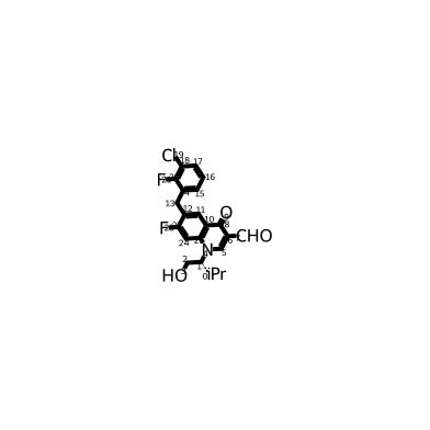 CC(C)[C@H](CO)n1cc(C=O)c(=O)c2cc(Cc3cccc(Cl)c3F)c(F)cc21